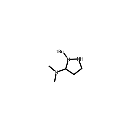 CN(C)C1CCNN1C(C)(C)C